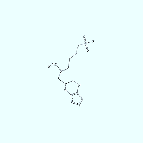 CN(CCCCS(=O)(=O)[O-])CC1COc2cscc2O1.[K+]